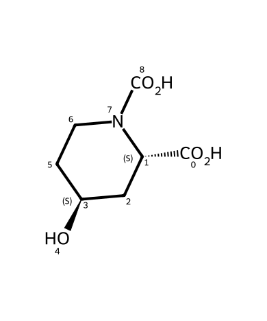 O=C(O)[C@@H]1C[C@@H](O)CCN1C(=O)O